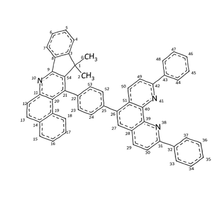 CC1(C)c2ccccc2-c2nc3ccc4ccccc4c3c(-c3ccc(-c4cc5ccc(-c6ccccc6)nc5c5nc(-c6ccccc6)ccc45)cc3)c21